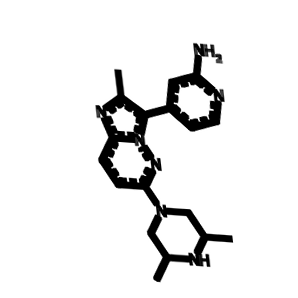 Cc1nc2ccc(N3CC(C)NC(C)C3)nn2c1-c1ccnc(N)c1